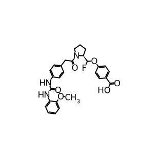 COc1ccccc1NC(=O)Nc1ccc(CC(=O)N2CCC[C@H]2C(F)Oc2ccc(C(=O)O)cc2)cc1